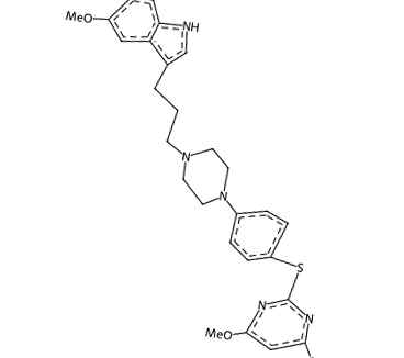 COc1ccc2[nH]cc(CCCN3CCN(c4ccc(Sc5nc(OC)cc(OC)n5)cc4)CC3)c2c1